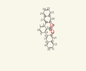 c1cc2c3c(c1)-c1cc4ccccc4cc1OB3Oc1cc3ccccc3cc1-2